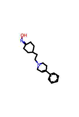 ON=C1CCC(CCN2CC=C(c3ccccc3)CC2)CC1